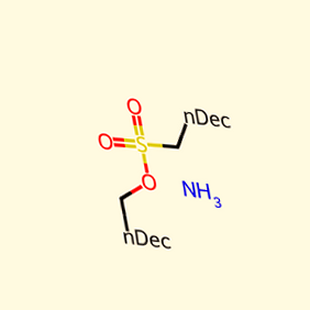 CCCCCCCCCCCOS(=O)(=O)CCCCCCCCCCC.N